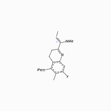 C/C=C(\NC)C1=Nc2cc(F)c(C)c(C(C)CCC)c2CC1